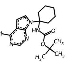 CC(C)(C)OC(=O)NC1(n2ccc3c(Cl)ncnc32)CCCCC1